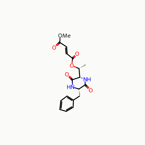 COC(=O)/C=C/C(=O)O[C@H](C)[C@@H]1NC(=O)[C@H](Cc2ccccc2)NC1=O